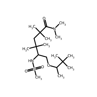 CC(OCC(NS(C)(=O)=O)C(C)(C)CC(C)(C)C(=O)N(C)C)C(C)(C)C